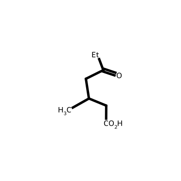 CCC(=O)CC(C)CC(=O)O